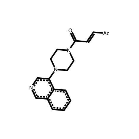 CC(=O)C=CC(=O)N1CCN(c2cncc3ccccc23)CC1